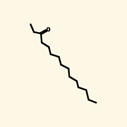 CCCCCCCCCCCCC(=O)CC